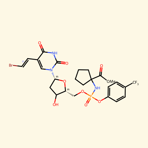 COC(=O)C1(NP(=O)(OC[C@H]2O[C@@H](n3cc(/C=C/Br)c(=O)[nH]c3=O)CC2O)Oc2ccc(C(F)(F)F)cc2)CCCC1